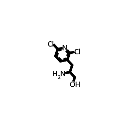 NC(CO)Cc1ccc(Cl)nc1Cl